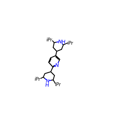 CC(C)C1CC(c2ccc(C3CC(C(C)C)NC(C(C)C)C3)nc2)CC(C(C)C)N1